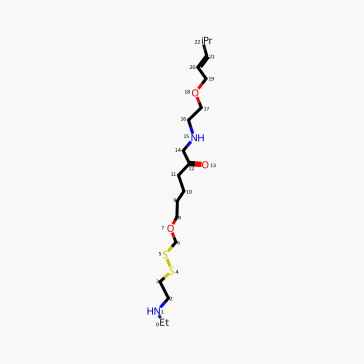 CCNCCSSCOCCCCC(=O)CNCCOC/C=C/C(C)C